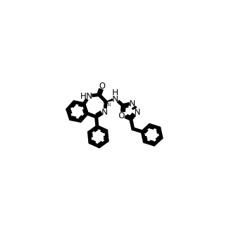 O=C1Nc2ccccc2C(c2ccccc2)=N[C@@H]1Nc1nnc(Cc2ccccc2)o1